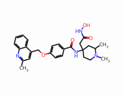 Cc1cc(COc2ccc(C(=O)NC3(CC(=O)NO)CCN(C)C(C)C3)cc2)c2ccccc2n1